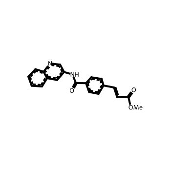 COC(=O)/C=C/c1ccc(C(=O)Nc2cnc3ccccc3c2)cc1